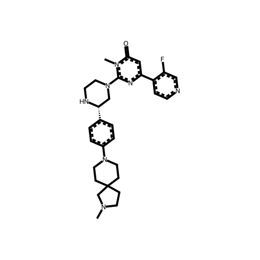 CN1CCC2(CCN(c3ccc([C@H]4CN(c5nc(-c6ccncc6F)cc(=O)n5C)CCN4)cc3)CC2)C1